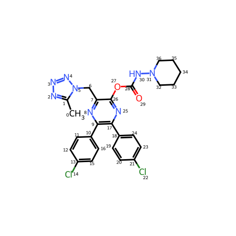 Cc1nnnn1Cc1nc(-c2ccc(Cl)cc2)c(-c2ccc(Cl)cc2)nc1OC(=O)NN1CCCCC1